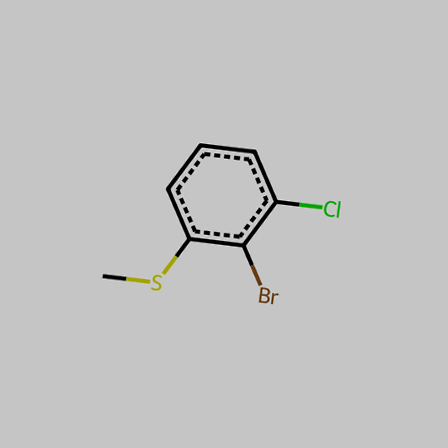 CSc1cccc(Cl)c1Br